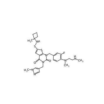 CNCCN(C)c1ccc(Cn2c(=O)n(Cc3cnn(C)c3)c(=O)c3cc(SNC4(C)CCC4)sc32)cc1F